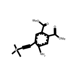 COC(=O)c1cc(N)c(C#C[Si](C)(C)C)cc1C(=O)OC